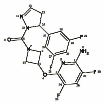 Nc1nc(OC2CN(C(=O)N3N=CCC3c3cc(F)cc(F)c3)C2)c(F)cc1F